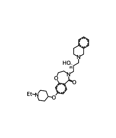 CCN1CCC(Oc2ccc3c(c2)OCCN(C[C@H](O)CN2CCc4ccccc4C2)C3=O)CC1